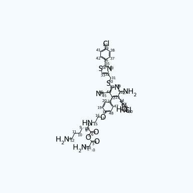 C[C@H](N)C(=O)OC(=O)[C@H](CCCCN)NCCOc1ccc(-c2c(C#N)c(N)nc(SCc3csc(-c4ccc(Cl)cc4)n3)c2C#N)cc1.Cl.Cl